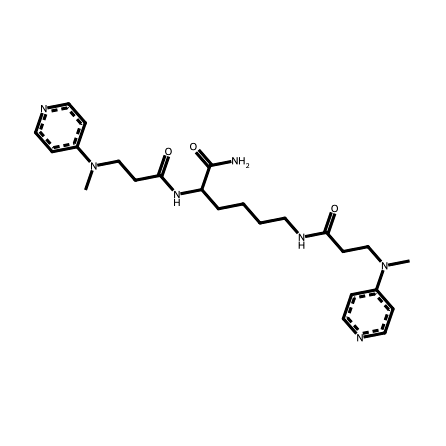 CN(CCC(=O)NCCCCC(NC(=O)CCN(C)c1ccncc1)C(N)=O)c1ccncc1